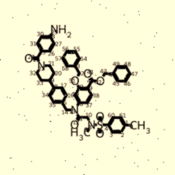 Cc1ccc(S(=O)(=O)N(C)CC(=O)N(Cc2ccc(C3CCN(C(=O)c4ccc(N)cc4)CC3)cc2)c2ccc(C(=O)OCc3ccccc3)c(OCc3ccccc3)c2)cc1